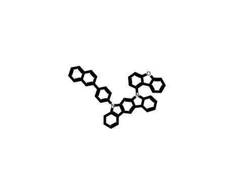 C1=CC2c3cc4c5c(n(-c6ccc(-c7ccc8ccccc8c7)cc6)c4cc3N(c3cccc4oc6ccccc6c34)C2C=C1)CCC=C5